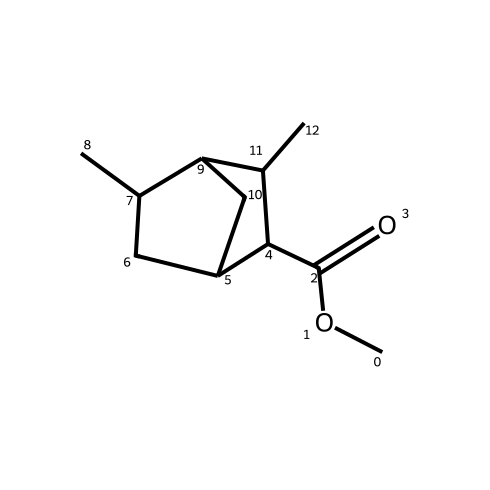 COC(=O)C1C2CC(C)C(C2)C1C